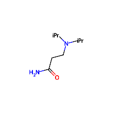 CC(C)N(CCC(N)=O)C(C)C